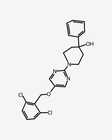 OC1(c2ccccc2)CCN(c2ncc(OCc3c(Cl)cccc3Cl)cn2)CC1